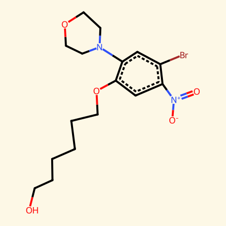 O=[N+]([O-])c1cc(OCCCCCCO)c(N2CCOCC2)cc1Br